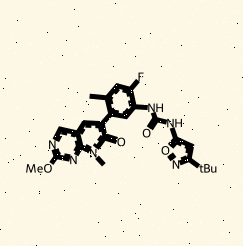 COc1ncc2cc(-c3cc(NC(=O)Nc4cc(C(C)(C)C)no4)c(F)cc3C)c(=O)n(C)c2n1